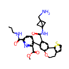 CCCNC(=O)c1ccc(-c2cc3c(cc2C(=O)NC24CC(CN)(C2)C4)-c2sccc2CCO3)c(C(=O)OC)n1